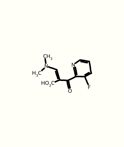 CN(C)C=C(C(=O)O)C(=O)c1ncccc1F